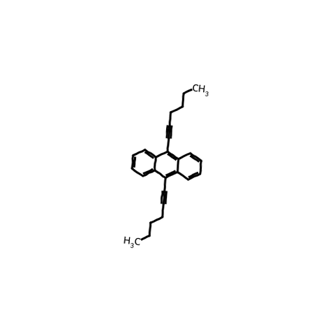 CCCCC#Cc1c2ccccc2c(C#CCCCC)c2ccccc12